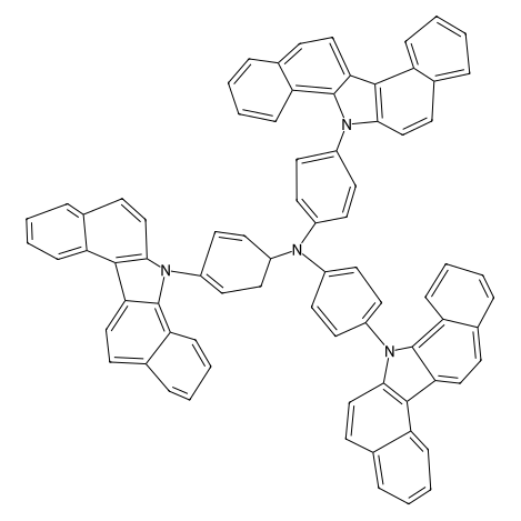 C1=CC(N(c2ccc(-n3c4ccc5ccccc5c4c4ccc5ccccc5c43)cc2)c2ccc(-n3c4ccc5ccccc5c4c4ccc5ccccc5c43)cc2)CC=C1n1c2ccc3ccccc3c2c2ccc3ccccc3c21